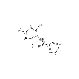 Cc1nc(C(C)C)nc(O)c1NC(=O)c1ccccc1